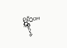 C[Si](C)(C)CCOCn1ccc2c(N[C@H]3CC[C@H](O)CC3)c(C=O)cnc21